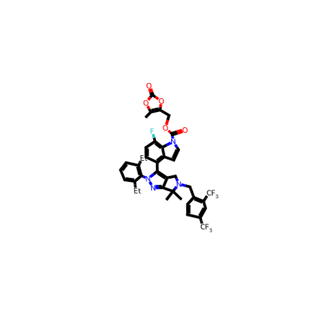 CCc1cccc(CC)c1-n1nc2c(c1-c1ccc(F)c3c1ccn3C(=O)OCc1oc(=O)oc1C)CN(Cc1ccc(C(F)(F)F)cc1C(F)(F)F)C2(C)C